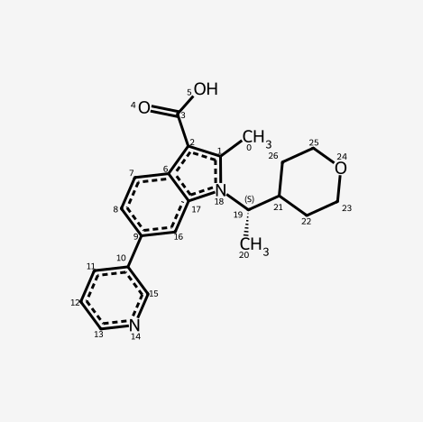 Cc1c(C(=O)O)c2ccc(-c3cccnc3)cc2n1[C@@H](C)C1CCOCC1